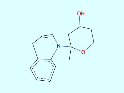 CC1(N2C=CCc3ccccc32)CC(O)CCO1